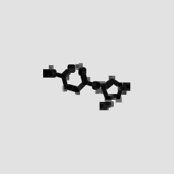 F.O=C(O)/C=C\C(=O)O.c1cc[nH]c1